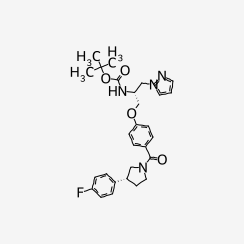 CC(C)(C)OC(=O)N[C@@H](COc1ccc(C(=O)N2CC[C@H](c3ccc(F)cc3)C2)cc1)Cn1cccn1